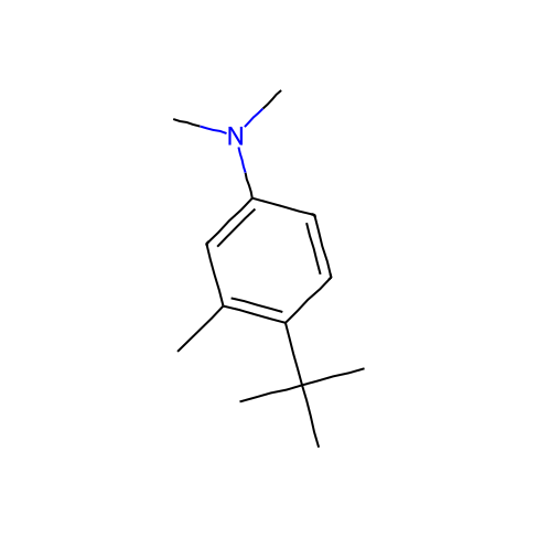 Cc1cc(N(C)C)ccc1C(C)(C)C